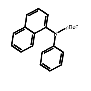 CCCCCCCCCCN(c1ccccc1)c1cccc2ccccc12